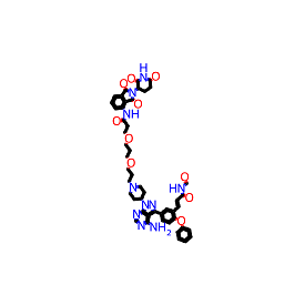 Nc1ncnc2c1c(-c1ccc(Oc3ccccc3)c(C=CC(=O)NC=O)c1)nn2C1CCN(CCCOCCCOCCC(=O)Nc2cccc3c2C(=O)N(C2CCC(=O)NC2=O)C3=O)CC1